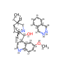 CC[C@@H]1CN2CCC1C[C@H]2C(O)c1ccnc2ccc(OC)cc12.c1ccc2cnncc2c1